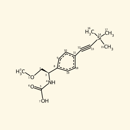 COC[C@H](NC(=O)O)c1ccc(C#C[Si](C)(C)C)cc1